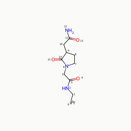 CC(C)CNC(=O)CN1CCC(CC(N)=O)C1=O